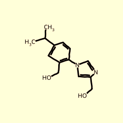 CC(C)c1ccc(-n2cnc(CO)c2)c(CO)c1